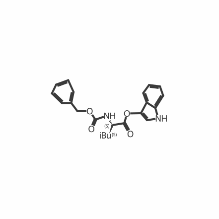 CC[C@H](C)[C@H](NC(=O)OCc1ccccc1)C(=O)Oc1c[nH]c2ccccc12